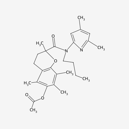 CCCCN(C(=O)C1(C)CCc2c(C)c(OC(C)=O)c(C)c(C)c2O1)c1cc(C)cc(C)n1